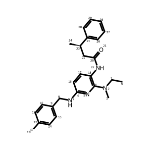 CCN(C)c1nc(NCc2ccc(F)cc2)ccc1NC(=O)C[C@@H](C)c1ccccc1